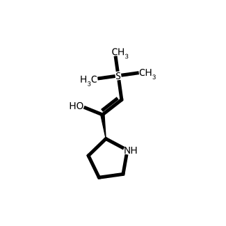 CS(C)(C)/C=C(\O)[C@@H]1CCCN1